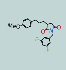 COc1ccc(CCCC2CC(=O)N(Cc3cc(F)cc(F)c3)C2=O)cc1